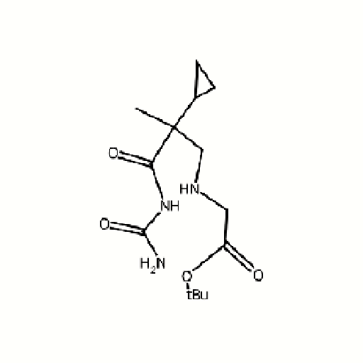 CC(C)(C)OC(=O)CNCC(C)(C(=O)NC(N)=O)C1CC1